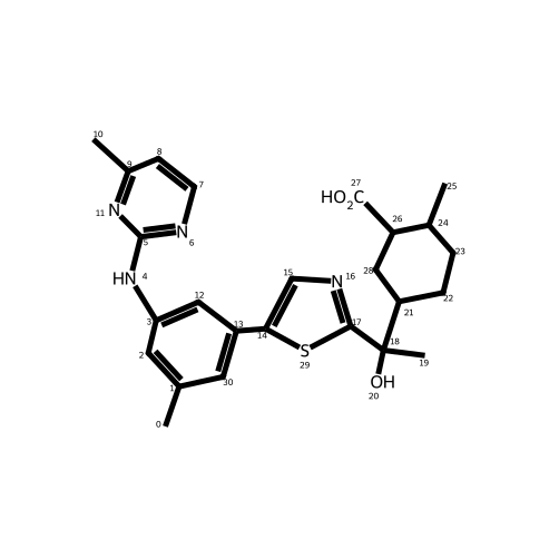 Cc1cc(Nc2nccc(C)n2)cc(-c2cnc(C(C)(O)C3CCC(C)C(C(=O)O)C3)s2)c1